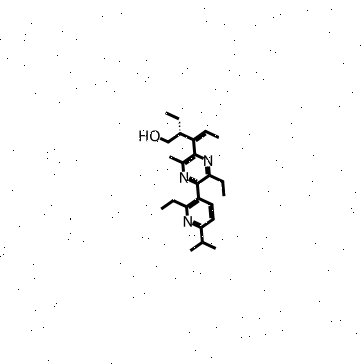 C/C=C(\c1nc(CC)c(-c2ccc(C(C)C)nc2CC)nc1C)[C@@H](CC)CO